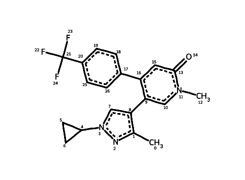 Cc1nn(C2CC2)cc1-c1cn(C)c(=O)cc1-c1ccc(C(F)(F)F)cc1